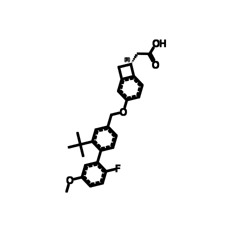 COc1ccc(F)c(-c2ccc(COc3ccc4c(c3)C[C@@H]4CC(=O)O)cc2C(C)(C)C)c1